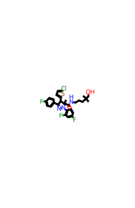 CC(C)(CO)CCCNC(=O)C1(C)C(c2ccc(Cl)s2)C(c2ccc(F)cc2)=NN1c1ccc(F)cc1F